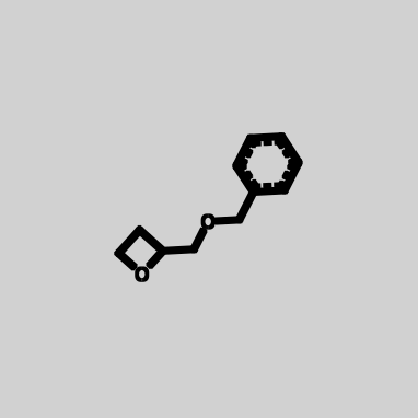 c1ccc(COCC2CCO2)cc1